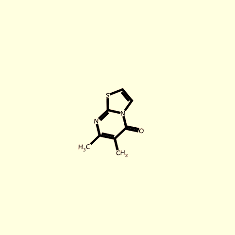 Cc1nc2sccn2c(=O)c1C